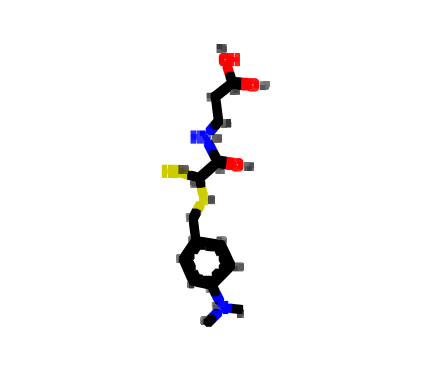 CN(C)c1ccc(CSC(S)C(=O)NCCC(=O)O)cc1